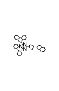 c1ccc(-c2ccccc2-c2nc(-c3ccc(-c4ccc5ccccc5c4)cc3)nc(-c3cc4ccccc4c4ccccc34)n2)cc1